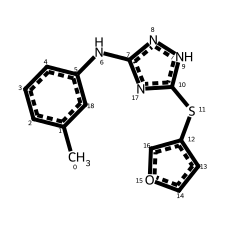 Cc1cccc(Nc2n[nH]c(Sc3ccoc3)n2)c1